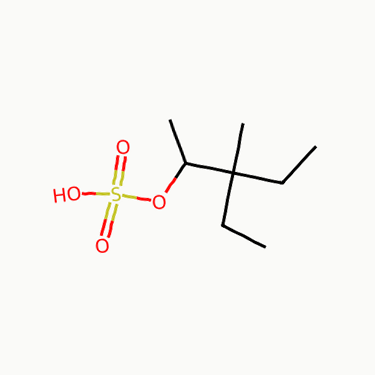 CCC(C)(CC)C(C)OS(=O)(=O)O